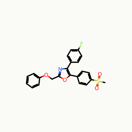 CS(=O)(=O)c1ccc(-c2oc(COc3ccccc3)nc2-c2ccc(F)cc2)cc1